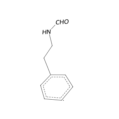 O=CNCCc1cc[c]cc1